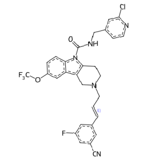 N#Cc1cc(F)cc(/C=C/CN2CCc3c(c4cc(OC(F)(F)F)ccc4n3C(=O)NCc3ccnc(Cl)c3)C2)c1